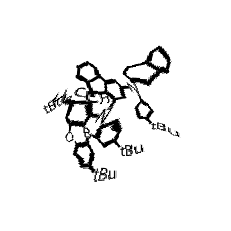 CC(C)(C)c1ccc(N(c2cc3c(c(N4c5ccc(C(C)(C)C)cc5B5c6cc(C(C)(C)C)ccc6Oc6cc(C(C)(C)C)cc4c65)c2)C(C)(C)c2ccccc2-3)c2ccc3ccccc3c2)cc1